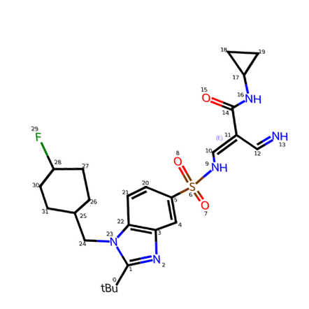 CC(C)(C)c1nc2cc(S(=O)(=O)N/C=C(\C=N)C(=O)NC3CC3)ccc2n1CC1CCC(F)CC1